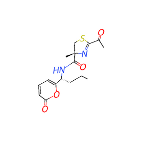 CCC[C@@H](NC(=O)[C@]1(C)CSC(C(C)=O)=N1)c1cccc(=O)o1